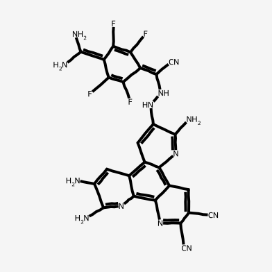 N#CC(NNc1cc2c3cc(N)c(N)nc3c3nc(C#N)c(C#N)cc3c2nc1N)=c1c(F)c(F)c(=C(N)N)c(F)c1F